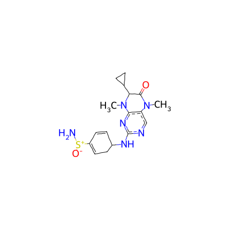 CN1C(=O)C(C2CC2)N(C)c2nc(NC3C=CC([S+](N)[O-])=CC3)ncc21